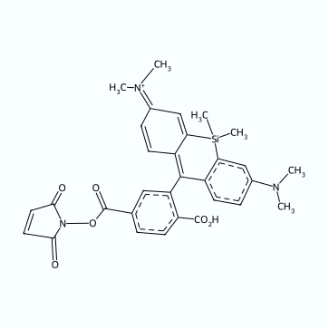 CN(C)c1ccc2c(c1)[Si](C)(C)C1=CC(=[N+](C)C)C=CC1=C2c1cc(C(=O)ON2C(=O)C=CC2=O)ccc1C(=O)O